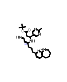 Cc1ncc(C(CC(=O)OC(C)(C)C)N/C(=C\C=N)CCCc2ccc3c(n2)NCCCC3)cn1